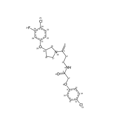 C=C(CCNC(=O)COc1ccc(Cl)cc1)N1CCC(Oc2ccc(Cl)c(F)c2)C1